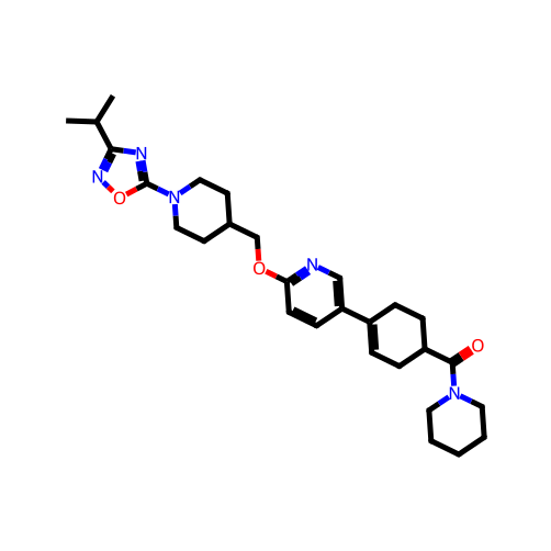 CC(C)c1noc(N2CCC(COc3ccc(C4=CCC(C(=O)N5CCCCC5)CC4)cn3)CC2)n1